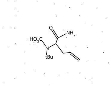 C=CCC(C(N)=O)N(C(=O)O)C(C)(C)C